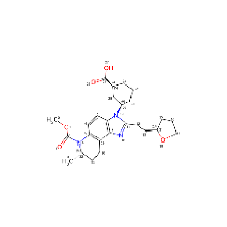 COC(=O)N1c2ccc3c(nc(CC[C@H]4CCCO4)n3[C@@H]3CCC[C@H](C(=O)O)C3)c2CC[C@@H]1C